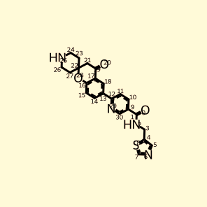 O=C(NCc1cncs1)c1ccc(-c2ccc3c(c2)C(=O)CC2(CCNCC2)O3)nc1